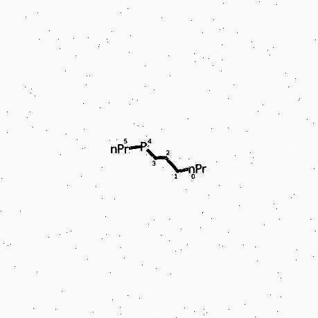 CCCCCC[P]CCC